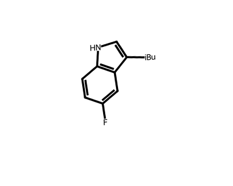 CCC(C)c1c[nH]c2ccc(F)cc12